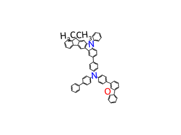 CC1(C)c2ccccc2-c2cc3c4cc(-c5ccc(N(c6ccc(-c7ccccc7)cc6)c6ccc(-c7cccc8c7oc7ccccc78)cc6)cc5)ccc4n(-c4ccccc4)c3cc21